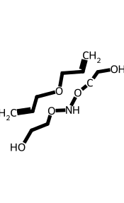 C=CCOCC=C.OCCONOCCO